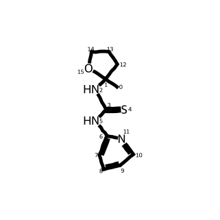 CC1(NC(=S)Nc2ccccn2)CCCO1